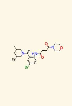 C=C(c1cc(Br)ccc1NC(=O)CCC(=O)N1CCOCC1)N1CC(C)CC(CC)C1